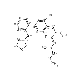 CCOC(=O)C=CC(C)Sc1c(F)cc(-c2cccnc2SC2CCCC2)cc1F